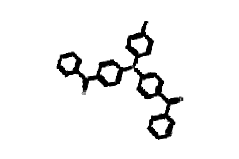 Cc1ccc(N(c2ccc(C(=O)c3ccccc3)cc2)c2ccc(C(=O)c3ccccc3)cc2)cc1